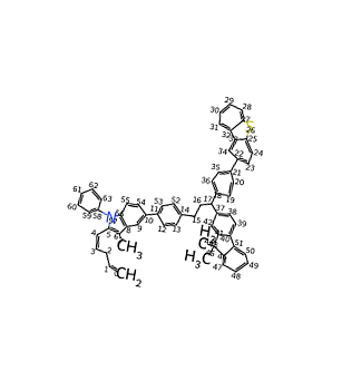 C=CC/C=C\c1c(C)c2cc(-c3ccc(CCC(c4ccc(-c5ccc6sc7ccccc7c6c5)cc4)c4ccc5c(c4)C(C)(C)c4ccccc4-5)cc3)ccc2n1-c1ccccc1